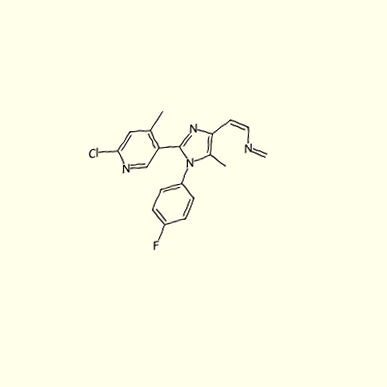 C=N/C=C\c1nc(-c2cnc(Cl)cc2C)n(-c2ccc(F)cc2)c1C